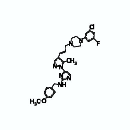 COc1ccc(CNc2nccc(-n3ncc(C=CCN4CCN(c5cc(F)cc(Cl)c5)CC4)c3C)n2)cc1